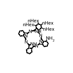 CCCCCCc1c(CCCCCC)c(CCCCCC)c2c3nc4nc(nc5[nH]c(nc6nc(nc([nH]3)c2c1CCCCCC)-c1ccccc1-6)c1ccccc51)-c1cccc(N)c1-4